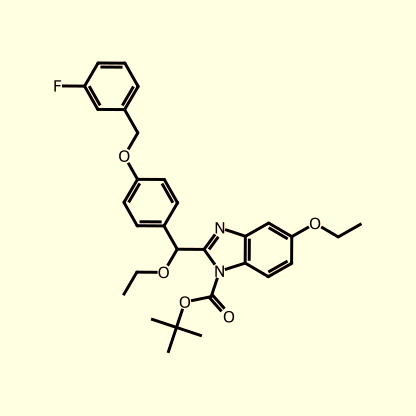 CCOc1ccc2c(c1)nc(C(OCC)c1ccc(OCc3cccc(F)c3)cc1)n2C(=O)OC(C)(C)C